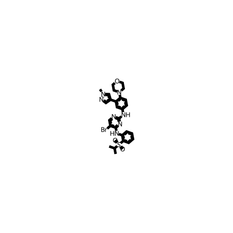 CC(C)S(=O)(=O)c1ccccc1Nc1nc(Nc2ccc(N3CCOCC3)c(-c3cnn(C)c3)c2)ncc1Br